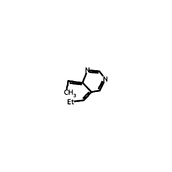 C/C=c1/ncnc/c1=C/CC